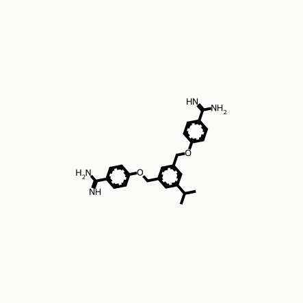 CC(C)c1cc(COc2ccc(C(=N)N)cc2)cc(COc2ccc(C(=N)N)cc2)c1